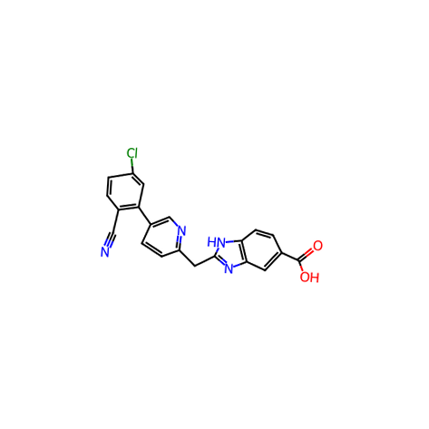 N#Cc1ccc(Cl)cc1-c1ccc(Cc2nc3cc(C(=O)O)ccc3[nH]2)nc1